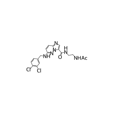 CC(=O)NCCNC(=O)c1cnc2ccc(NCc3ccc(Cl)c(Cl)c3)nn12